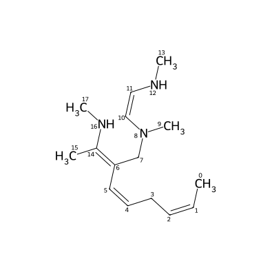 C/C=C\C/C=C\C(CN(C)/C=C\NC)=C(/C)NC